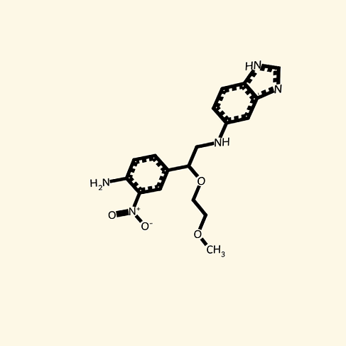 COCCOC(CNc1ccc2[nH]cnc2c1)c1ccc(N)c([N+](=O)[O-])c1